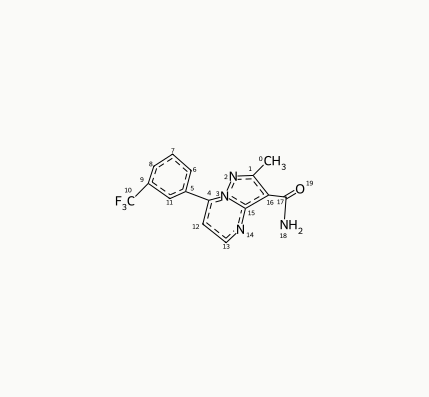 Cc1nn2c(-c3cccc(C(F)(F)F)c3)ccnc2c1C(N)=O